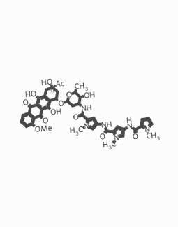 COc1cccc2c1C(=O)c1c(O)c3c(c(O)c1C2=O)C[C@@](O)(C(C)=O)C[C@@H]3OC1CC(NC(=O)c2cc(NC(=O)c3cc(NC(=O)c4cccn4C)cn3C)cn2C)C(O)C(C)O1